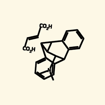 CN(C)C1C2c3ccccc3C3C(c4ccccc42)C31.O=C(O)/C=C/C(=O)O